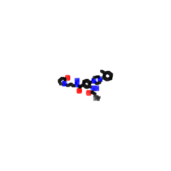 Cc1ccccc1N1CCN(c2ccc(C(=O)NCCCN3CCCC3=O)cc2NC(=O)CC(C)C)CC1